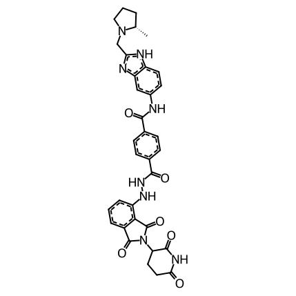 C[C@H]1CCCN1Cc1nc2cc(NC(=O)c3ccc(C(=O)NNc4cccc5c4C(=O)N(C4CCC(=O)NC4=O)C5=O)cc3)ccc2[nH]1